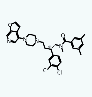 Cc1cc(C)cc(C(=O)N(C)C[C@@H](CCN2CCN(c3cncc4occc34)CC2)c2ccc(Cl)c(Cl)c2)c1